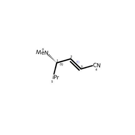 CN[C@H](/C=C/C#N)C(C)C